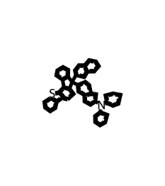 c1ccc(N(c2ccccc2)c2ccc3cc(C4(c5ccc6ccccc6c5)c5ccccc5-c5c4ccc4c5sc5ccccc54)ccc3c2)cc1